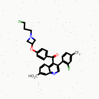 O=C(O)c1ccc2c(C(=O)c3ccc(OC4CN(CCCF)C4)cc3)c(-c3ccc(C(F)(F)F)cc3F)cnc2c1